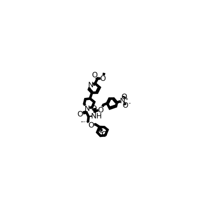 COC(=O)c1ccc(C2CCN(C(=O)[C@@H](NC(=O)OCc3ccc([N+](=O)[O-])cc3)[C@@H](C)OCC34CCC(CC3)OC4)CC2)cn1